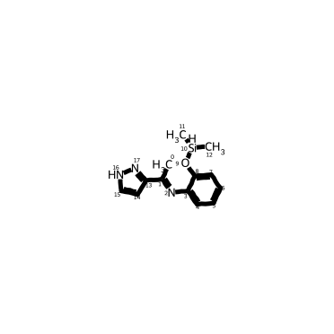 CC(=Nc1ccccc1O[SiH](C)C)c1cc[nH]n1